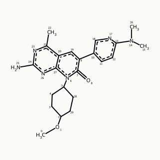 COC1CCC(n2c(=O)c(-c3ccc(N(C)C)nc3)cc3c(C)nc(N)nc32)CC1